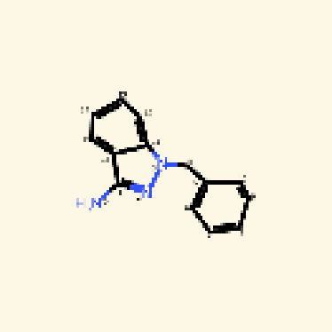 Nc1nn(Cc2ccccc2)c2ccccc12